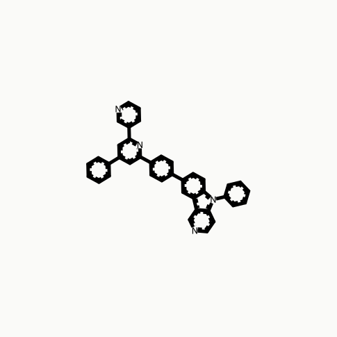 c1ccc(-c2cc(-c3ccc(-c4ccc5c(c4)c4cnccc4n5-c4ccccc4)cc3)nc(-c3cccnc3)c2)cc1